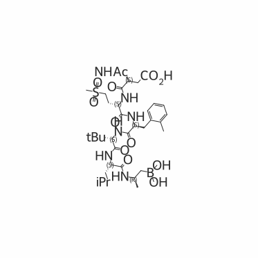 CC(=O)N[C@@H](CC(=O)O)C(=O)N[C@@H](CCS(C)(=O)=O)C(=O)N[C@@H](Cc1ccccc1C)C(=O)N[C@H](C(=O)N[C@@H](CC(C)C)C(=O)N[C@H](C)CB(O)O)C(C)(C)C